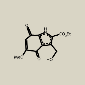 CCOC(=O)c1[nH]c2c(c1CO)C(=O)C(OC)=CC2=O